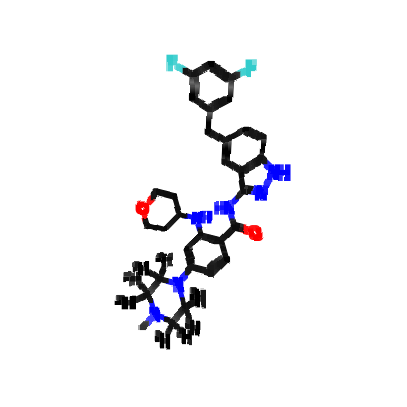 [2H]C1([2H])N(C)C([2H])([2H])C([2H])([2H])N(c2ccc(C(=O)Nc3n[nH]c4ccc(Cc5cc(F)cc(F)c5)cc34)c(NC3CCOCC3)c2)C1([2H])[2H]